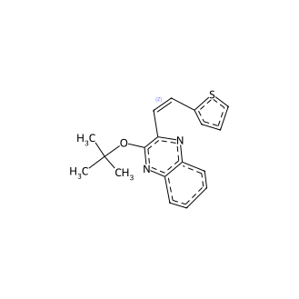 CC(C)(C)Oc1nc2ccccc2nc1/C=C\c1cccs1